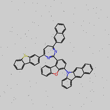 C1=C(c2ccc3c(c2)sc2ccccc23)N=C(c2ccc(-n3c4ccccc4c4cc5ccccc5cc43)c3oc4ccccc4c23)N=C(c2ccc3ccccc3c2)C1